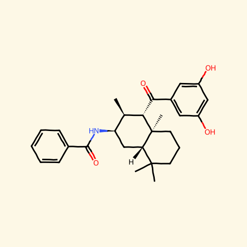 C[C@@H]1[C@H](NC(=O)c2ccccc2)C[C@H]2C(C)(C)CCC[C@]2(C)[C@H]1C(=O)c1cc(O)cc(O)c1